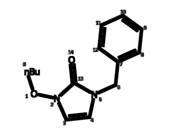 CCCCOn1ccn(Cc2ccccc2)c1=O